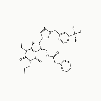 CCCn1c(=O)c2c(nc(-c3cnn(Cc4cccc(C(F)(F)F)c4)c3)n2COC(=O)Cc2ccccc2)n(CC)c1=O